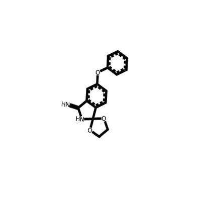 N=C1NC2(OCCO2)c2ccc(Oc3ccccc3)cc21